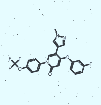 Cn1cc(-c2cn(-c3ccc(OC(F)(F)F)cc3)c(=O)cc2Oc2cccc(F)c2)cn1